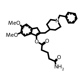 COc1cc2c(cc1OC)C(OC(=O)CCCC(N)=O)=C(CC1CCN(Cc3ccccc3)CC1)C2